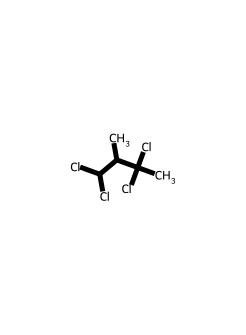 CC([C](Cl)Cl)C(C)(Cl)Cl